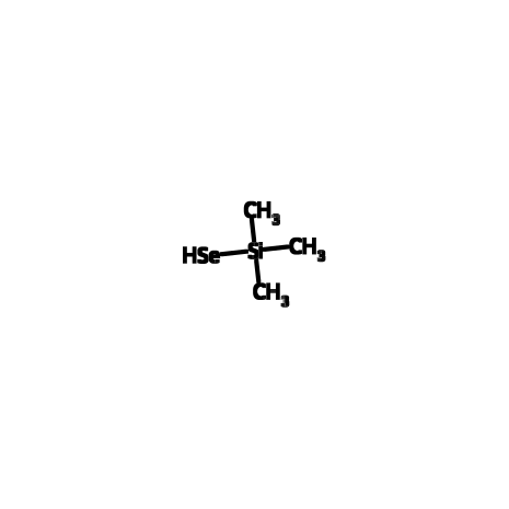 C[Si](C)(C)[SeH]